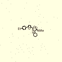 CCc1ccc(-c2ccc(C(=O)N[C@H](C(=O)NC)C3CCCCC3)o2)cc1